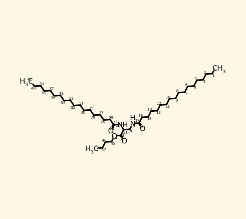 CCCCCCCCCCCCCCCCCC(=O)NCC(NC(=O)CCCCCCCCCCCCCCCCC)C(=O)OCCCC